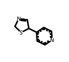 C1=NCSC1c1ccncc1